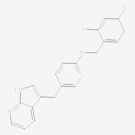 FC1=CC(F)CC=C1CNc1ccc(Cc2c[nH]c3ncccc23)cn1